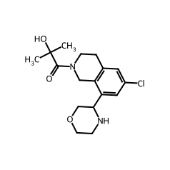 CC(C)(O)C(=O)N1CCc2cc(Cl)cc(C3COCCN3)c2C1